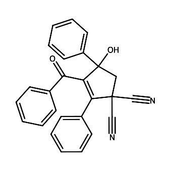 N#CC1(C#N)CC(O)(c2ccccc2)C(C(=O)c2ccccc2)=C1c1ccccc1